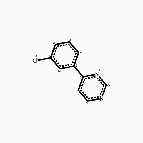 Clc1cccc(-c2ccn[c]n2)c1